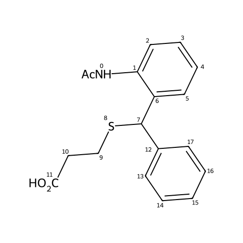 CC(=O)Nc1ccccc1C(SCCC(=O)O)c1ccccc1